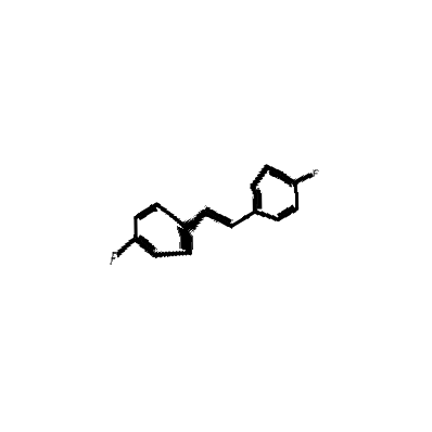 Fc1ccc([C]=Cc2ccc(F)cc2)cc1